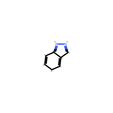 C1=CC2=NN=CC2=CC1